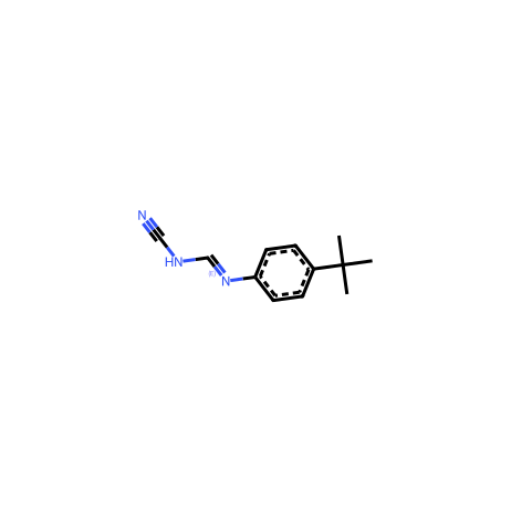 CC(C)(C)c1ccc(/N=C/NC#N)cc1